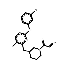 C=CC(=O)N1CCC[C@@H](Cc2nc(Nc3cccc(Cl)c3)ncc2F)C1